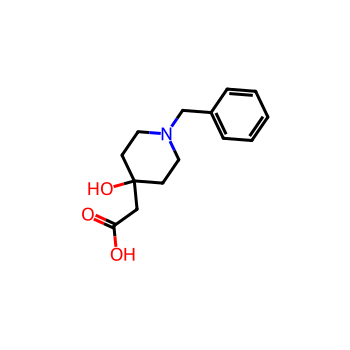 O=C(O)CC1(O)CCN(Cc2ccccc2)CC1